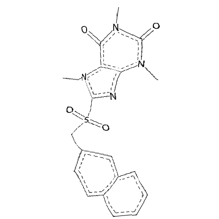 Cn1c(=O)c2c(nc(S(=O)(=O)Cc3ccc4ccccc4c3)n2C)n(C)c1=O